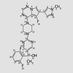 Cn1cc(-c2cn3ncnc(N4CCN(c5ncc([C@@](C)(O)c6c(F)cccc6F)cn5)CC4)c3c2F)cn1